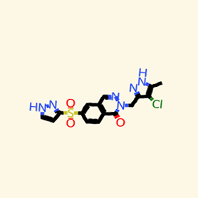 Cc1[nH]nc(Cn2ncc3cc(S(=O)(=O)c4cc[nH]n4)ccc3c2=O)c1Cl